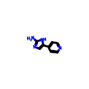 Nc1ncc(-c2ccncc2)[nH]1